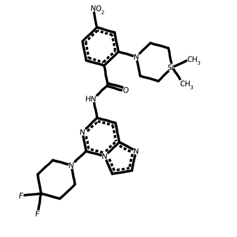 C[Si]1(C)CCN(c2cc([N+](=O)[O-])ccc2C(=O)Nc2cc3nccn3c(N3CCC(F)(F)CC3)n2)CC1